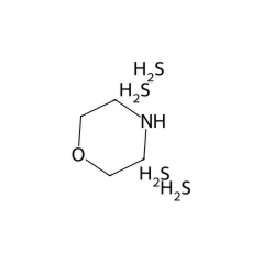 C1COCCN1.S.S.S.S